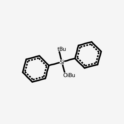 CC(C)CO[Si](c1ccccc1)(c1ccccc1)C(C)(C)C